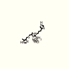 Cc1[nH]cnc1CSCC(C)N=C(N)NCCCc1c[nH]cn1.Cl.Cl.Cl